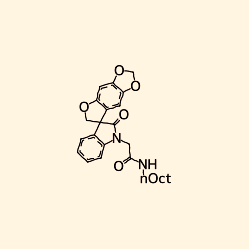 CCCCCCCCNC(=O)CN1C(=O)C2(COc3cc4c(cc32)OCO4)c2ccccc21